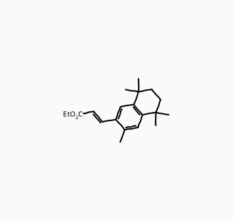 CCOC(=O)/C=C/c1cc2c(cc1C)C(C)(C)CCC2(C)C